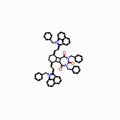 O=C1C2C(C(=O)N(Cc3ccccc3)C(=O)N1Cc1ccccc1)C1/C(=C\C=c3\c4cccc5cccc(c54)n3Cc3ccccc3)CC/C(=C/C=c3/c4cccc5cccc(c54)n3Cc3ccccc3)C21